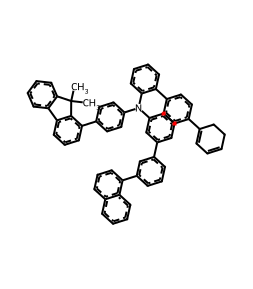 CC1(C)c2ccccc2-c2cccc(-c3ccc(N(c4cccc(-c5cccc(-c6cccc7ccccc67)c5)c4)c4ccccc4-c4ccc(C5=CC=CCC5)cc4)cc3)c21